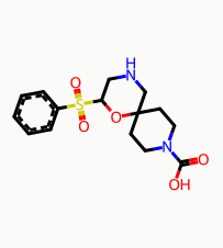 O=C(O)N1CCC2(CC1)CNCC(S(=O)(=O)c1ccccc1)O2